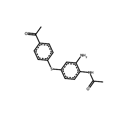 CC(=O)Nc1ccc(Sc2ccc(C(C)=O)cc2)cc1N